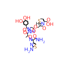 CC(ON=C(C(N)=O)c1csc(N)n1)C(=O)NN(CC(=O)OCC1C(=O)N2C(C(=O)O)=CCS[C@@H]12)C(=O)c1ccc(O)c(O)c1